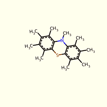 Cc1c(C)c(C)c2c(c1C)Sc1c(C)c(C)c(C)c(C)c1N2C